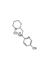 N#Cc1ccc(NCC2CCCCN2C(=O)O)nc1